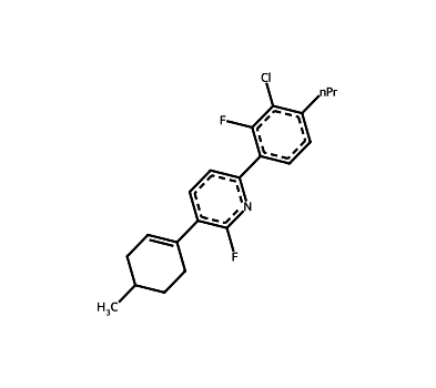 CCCc1ccc(-c2ccc(C3=CCC(C)CC3)c(F)n2)c(F)c1Cl